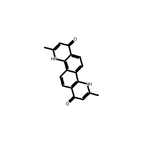 Cc1cc(=O)c2ccc3c(ccc4c(=O)cc(C)[nH]c43)c2[nH]1